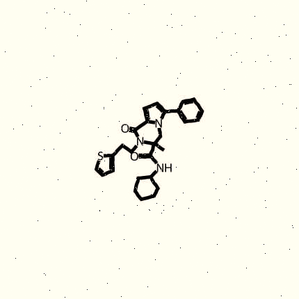 CC1(C(=O)NC2CCCCC2)Cn2c(ccc2-c2ccccc2)C(=O)N1CCc1cccs1